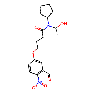 CC(O)N(C(=O)CCCOc1ccc([N+](=O)[O-])c(C=O)c1)C1CCCC1